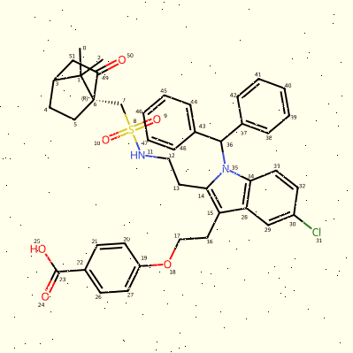 CC1(C)C2CC[C@]1(CS(=O)(=O)NCCc1c(CCOc3ccc(C(=O)O)cc3)c3cc(Cl)ccc3n1C(c1ccccc1)c1ccccc1)C(=O)C2